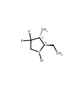 CC[C@@H]1[C@@H](C)C(F)(F)C[S+]1[O-]